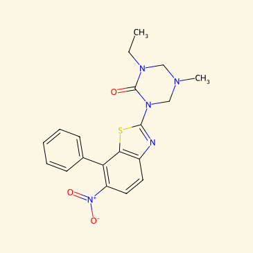 CCN1CN(C)CN(c2nc3ccc([N+](=O)[O-])c(-c4ccccc4)c3s2)C1=O